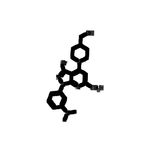 CC(C)c1nn(-c2cccc(N(C)C)c2)c2nc(C(=O)O)cc(N3CCC(CO)CC3)c12